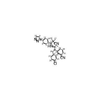 C[C@H](N[C@@H](c1ccc(-n2ccnn2)cc1)C(C)(C)C#N)C(Cc1ccc(Cl)cc1)c1cccc(C#N)c1